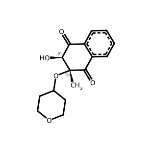 C[C@]1(OC2CCOCC2)C(=O)c2ccccc2C(=O)[C@@H]1O